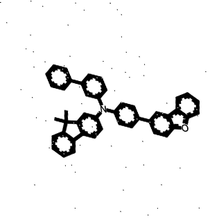 CC1(C)c2ccccc2-c2ccc(N(c3ccc(-c4ccc5oc6ccccc6c5c4)cc3)c3cccc(-c4ccccc4)c3)cc21